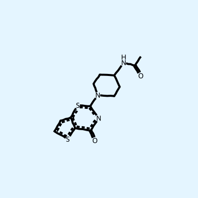 CC(=O)NC1CCN(c2nc(=O)c3sccc3s2)CC1